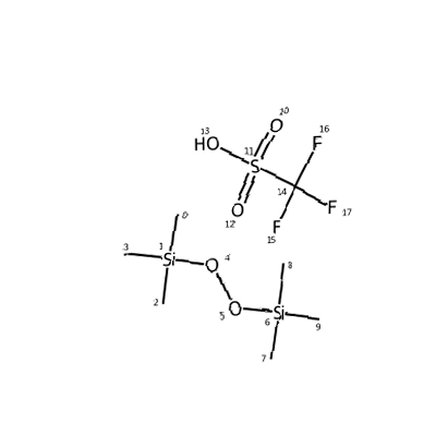 C[Si](C)(C)OO[Si](C)(C)C.O=S(=O)(O)C(F)(F)F